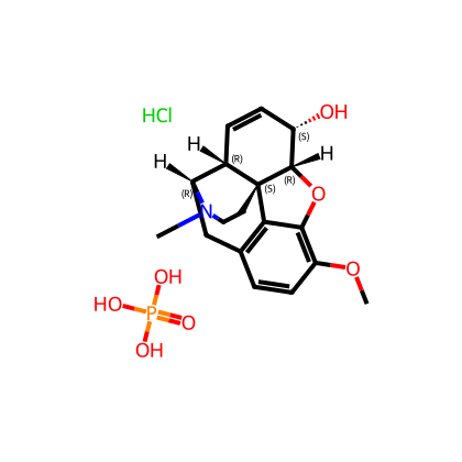 COc1ccc2c3c1O[C@H]1[C@@H](O)C=C[C@H]4[C@@H](C2)N(C)CC[C@@]341.Cl.O=P(O)(O)O